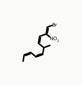 C/C=C\C=C/C(C)/C=C\C(=C\Br)[N+](=O)[O-]